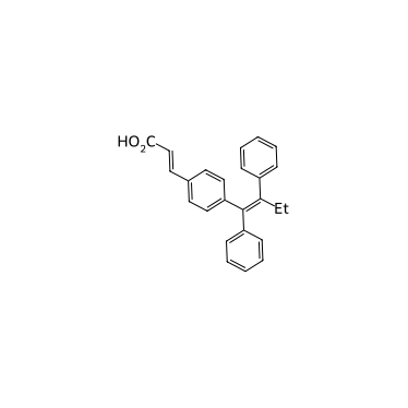 CC/C(=C(\c1ccccc1)c1ccc(C=CC(=O)O)cc1)c1ccccc1